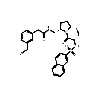 NCc1cccc(CC(=O)NC[C@@H]2CCCN2C(=O)[C@H](CO)NS(=O)(=O)c2ccc3ccccc3c2)c1